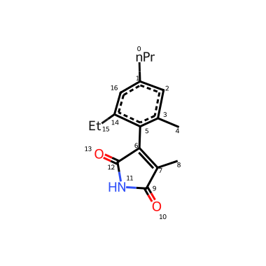 CCCc1cc(C)c(C2=C(C)C(=O)NC2=O)c(CC)c1